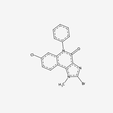 Cn1c(Br)nc2c(=O)n(-c3ccccc3)c3cc(Cl)ccc3c21